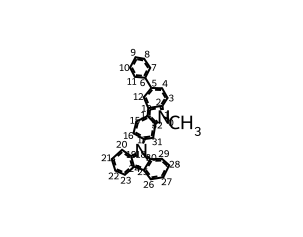 Cn1c2ccc(-c3ccccc3)cc2c2ccc(-n3c4ccccc4c4ccccc43)cc21